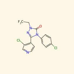 O=c1n(CC(F)(F)F)nc(-c2ccncc2Cl)n1-c1ccc(Cl)cc1